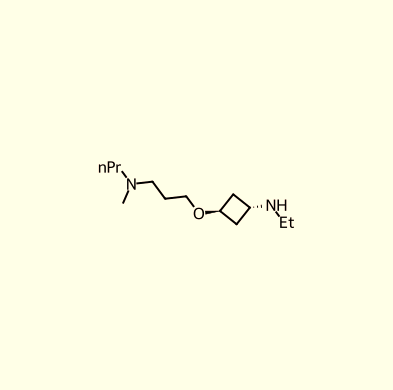 CCCN(C)CCCO[C@H]1C[C@H](NCC)C1